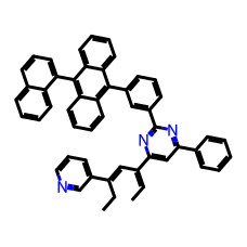 C/C=C(\C=C(/CC)c1cccnc1)c1cc(-c2ccccc2)nc(-c2cccc(-c3c4ccccc4c(-c4cccc5ccccc45)c4ccccc34)c2)n1